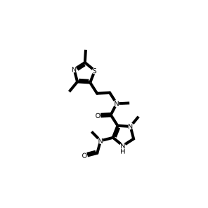 Cc1nc(C)c(CCN(C)C(=O)C2=C(N(C)C=O)NCN2C)s1